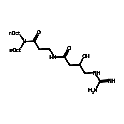 CCCCCCCCN(CCCCCCCC)C(=O)CCNC(=O)CC(O)CNC(=N)N